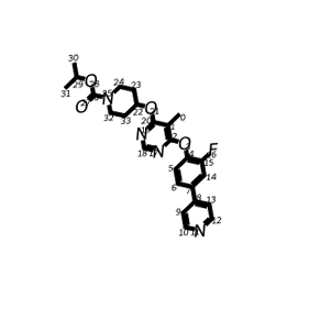 Cc1c(Oc2ccc(-c3ccncc3)cc2F)ncnc1OC1CCN(C(=O)OC(C)C)CC1